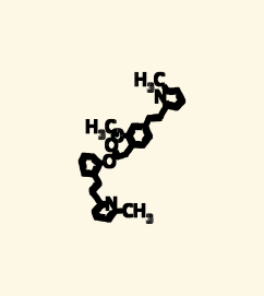 COc1cc(C=Cc2cccc(C)n2)ccc1CC(=O)Oc1ccccc1C=Cc1cccc(C)n1